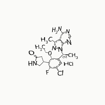 CCOc1c([C@H](C)n2nc(C)c3c(N)ncnc32)cc(Cl)c(F)c1C1CNC(=O)C1.Cl